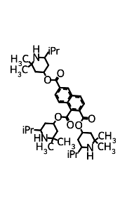 CC(C)C1CC(OC(=O)c2ccc3c(C(=O)OC4CC(C(C)C)NC(C)(C)C4)c(C(=O)OC4CC(C(C)C)NC(C)(C)C4)ccc3c2)CC(C)(C)N1